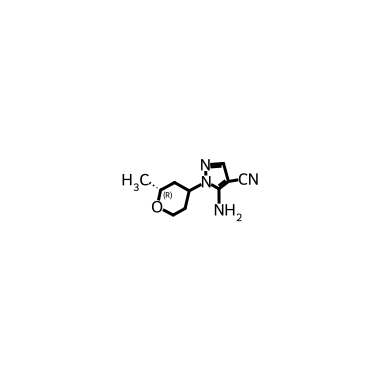 C[C@@H]1CC(n2ncc(C#N)c2N)CCO1